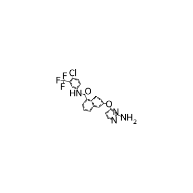 Nc1nccc(Oc2ccc3c(C(=O)Nc4ccc(Cl)c(C(F)(F)F)c4)cccc3c2)n1